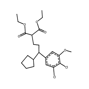 CCOC(=O)C(CCC(c1cc(Cl)c(Cl)c(OC)c1)C1CCCC1)C(=O)OCC